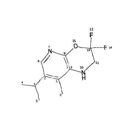 Cc1c(C(C)C)cnc2c1NCC(F)(F)O2